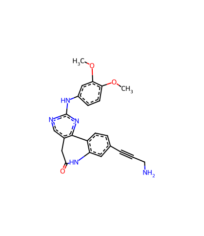 COc1ccc(Nc2ncc3c(n2)-c2ccc(C#CCN)cc2NC(=O)C3)cc1OC